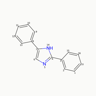 [c]1ccc(-c2ncc(-c3ccccc3)[nH]2)cc1